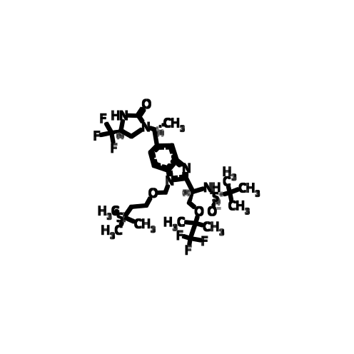 C[C@H](c1ccc2c(c1)nc([C@H](COC(C)(C)C(F)(F)F)N[S@+]([O-])C(C)(C)C)n2COCC[Si](C)(C)C)N1C[C@@H](C(F)(F)F)NC1=O